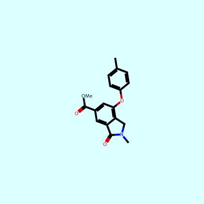 COC(=O)c1cc(Oc2ccc(C)cc2)c2c(c1)C(=O)N(C)C2